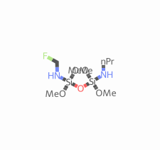 CCCN[Si](OC)(OC)O[Si](NCF)(OC)OC